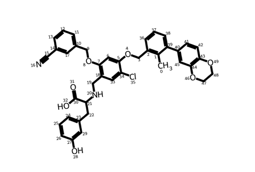 Cc1c(COc2cc(OCc3cccc(C#N)c3)c(CNC(Cc3cccc(O)c3)C(=O)O)cc2Cl)cccc1-c1ccc2c(c1)OCCO2